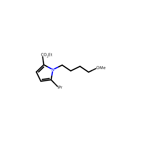 CCOC(=O)c1ccc(C(C)C)n1CCCCOC